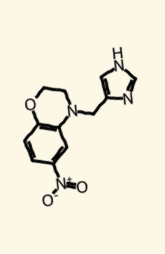 O=[N+]([O-])c1ccc2c(c1)N(Cc1c[nH]cn1)CCO2